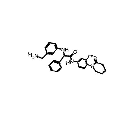 NCc1cccc(NC(C(=O)Nc2ccc(N3CCCCC3=O)c(C(F)(F)F)c2)c2ccccc2)c1